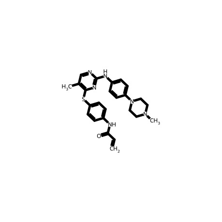 C=CC(=O)Nc1ccc(Sc2nc(Nc3ccc(N4CCN(C)CC4)cc3)ncc2C)cc1